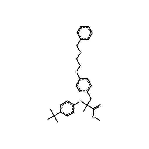 COC(=O)C(C)(Cc1ccc(OCCOCc2ccccc2)cc1)Oc1ccc(C(C)(C)C)cc1